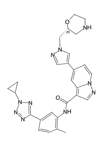 Cc1ccc(-c2nnn(C3CC3)n2)cc1NC(=O)c1cnn2ccc(-c3cnn(C[C@H]4CNCCO4)c3)cc12